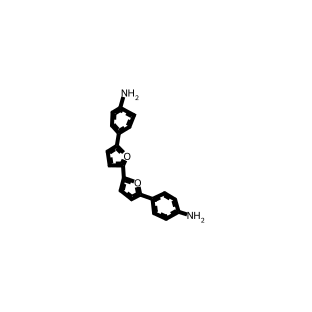 Nc1ccc(-c2ccc(-c3ccc(-c4ccc(N)cc4)o3)o2)cc1